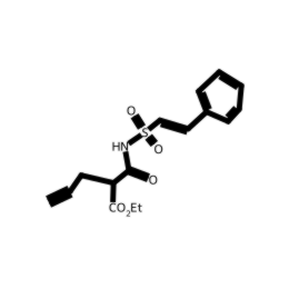 C#CCC(C(=O)NS(=O)(=O)/C=C/c1ccccc1)C(=O)OCC